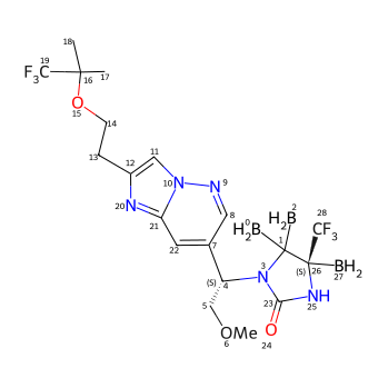 BC1(B)N([C@H](COC)c2cnn3cc(CCOC(C)(C)C(F)(F)F)nc3c2)C(=O)N[C@]1(B)C(F)(F)F